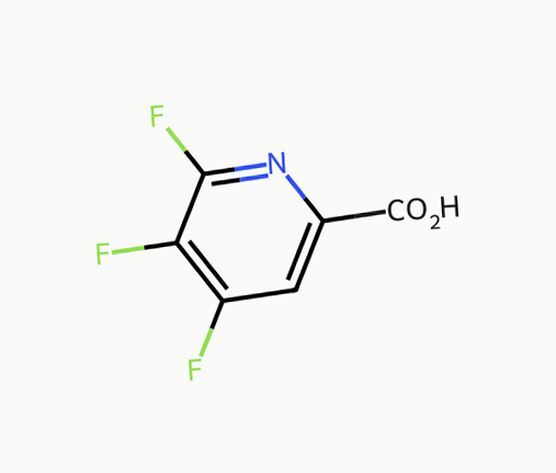 O=C(O)c1cc(F)c(F)c(F)n1